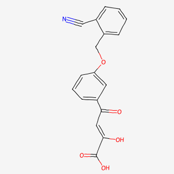 N#Cc1ccccc1COc1cccc(C(=O)/C=C(\O)C(=O)O)c1